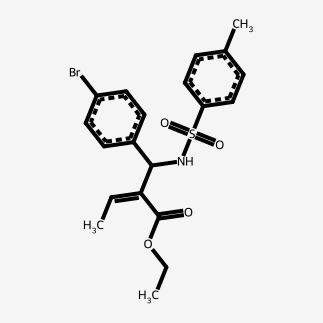 CC=C(C(=O)OCC)C(NS(=O)(=O)c1ccc(C)cc1)c1ccc(Br)cc1